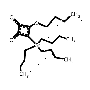 CCCCOc1[c]([Sn]([CH2]CCC)([CH2]CCC)[CH2]CCC)c(=O)c1=O